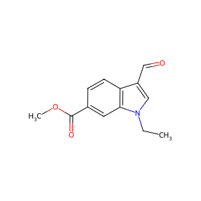 CCn1cc(C=O)c2ccc(C(=O)OC)cc21